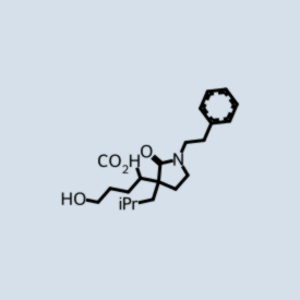 CC(C)CC1(C(CCCO)C(=O)O)CCN(CCc2ccccc2)C1=O